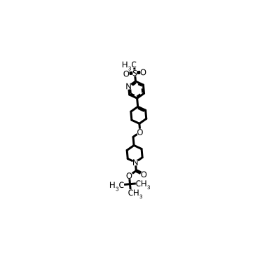 CC(C)(C)OC(=O)N1CCC(COC2CC=C(c3ccc(S(C)(=O)=O)nc3)CC2)CC1